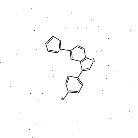 Brc1ccc(-c2coc3ccc(-c4ccccc4)cc23)cc1